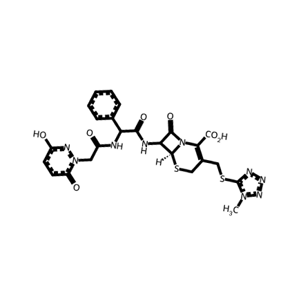 Cn1nnnc1SCC1=C(C(=O)O)N2C(=O)C(NC(=O)C(NC(=O)Cn3nc(O)ccc3=O)c3ccccc3)[C@@H]2SC1